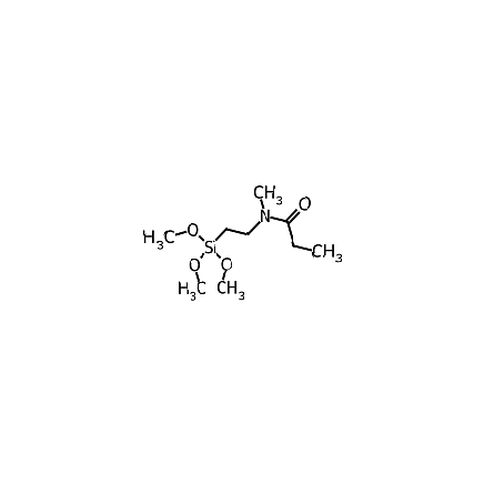 CCC(=O)N(C)CC[Si](OC)(OC)OC